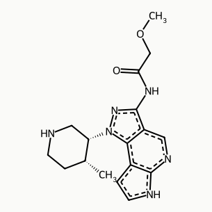 COCC(=O)Nc1nn([C@H]2CNCC[C@H]2C)c2c1cnc1[nH]ccc12